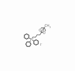 CC12COC(CCCC[P+](c3ccccc3)(c3ccccc3)c3ccccc3)(OC1)OC2.[I-]